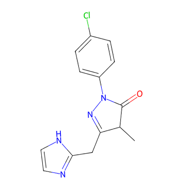 CC1C(=O)N(c2ccc(Cl)cc2)N=C1Cc1ncc[nH]1